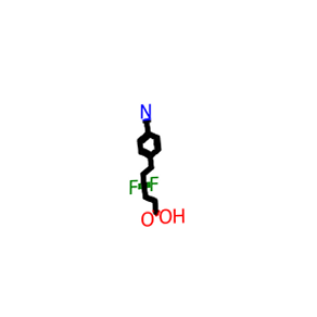 N#Cc1ccc(CCC(F)(F)CCC(=O)O)cc1